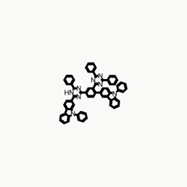 c1ccc(-c2nc(-c3ccccc3)nc(-c3cc(C4=NC(c5ccccc5)NC(c5ccc6c7ccccc7n(-c7ccccc7)c6c5)=N4)ccc3-c3ccc4c(c3)c3ccccc3n4-c3ccccc3)n2)cc1